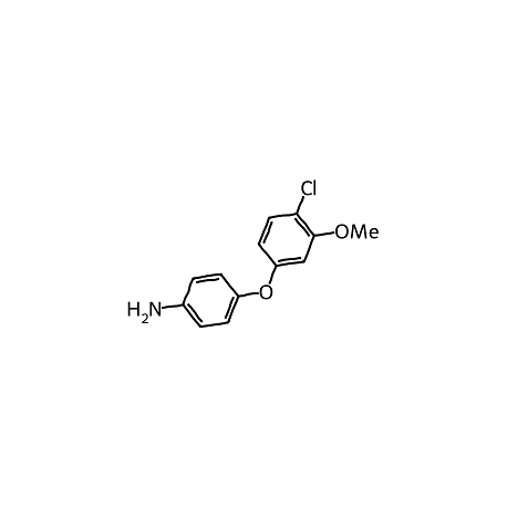 COc1cc(Oc2ccc(N)cc2)ccc1Cl